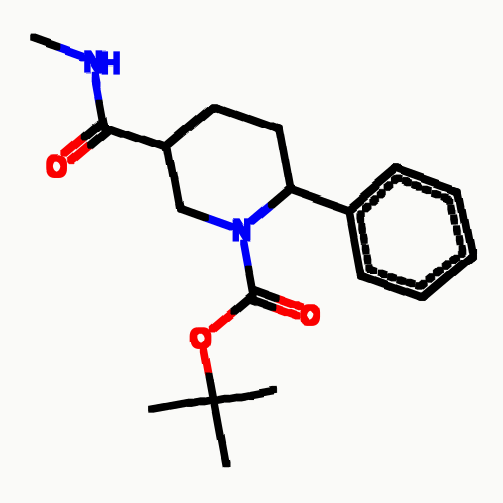 CNC(=O)C1CCC(c2ccccc2)N(C(=O)OC(C)(C)C)C1